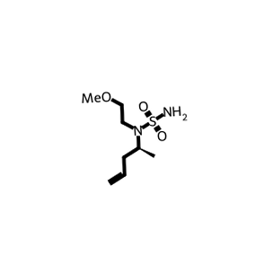 C=CC[C@H](C)N(CCOC)S(N)(=O)=O